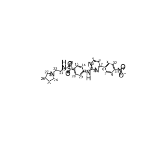 O=[N+]([O-])c1ccc(-c2ccnc(Nc3ccc(S(=O)(=O)NCCN4CCCC4)cc3)n2)cc1